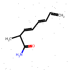 C=C/C=C/C=C/C(C)C(N)=O